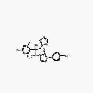 CC(n1ncn(-c2ccc(O)cc2)c1=O)C(O)(Cn1cncn1)c1ccc(F)cc1F